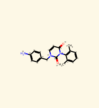 Cc1cccc(C)c1-n1c(=O)ccn(Cc2ccc(N)cc2)c1=O